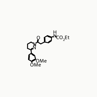 CCOC(=O)Nc1ccc(CC(=O)N2CCCC(c3ccc(OC)c(OC)c3)=N2)cc1